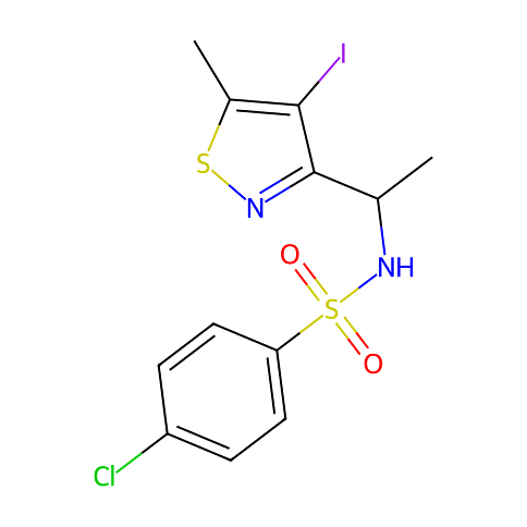 Cc1snc(C(C)NS(=O)(=O)c2ccc(Cl)cc2)c1I